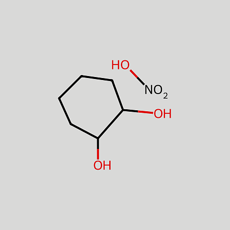 O=[N+]([O-])O.OC1CCCCC1O